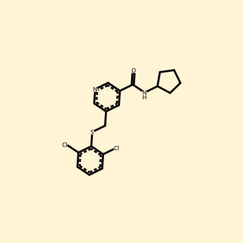 O=C(NC1CCCC1)c1cncc(CSc2c(Cl)cccc2Cl)c1